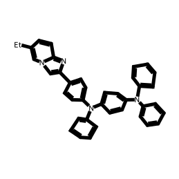 CCc1ccc2nc(-c3ccc(N(c4ccccc4)c4ccc(N(c5ccccc5)c5ccccc5)cc4)cc3)cn2c1